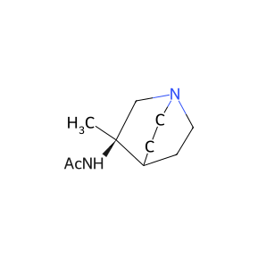 CC(=O)N[C@@]1(C)CN2CCC1CC2